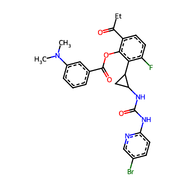 CCC(=O)c1ccc(F)c(C2CC2NC(=O)Nc2ccc(Br)cn2)c1OC(=O)c1cccc(N(C)C)c1